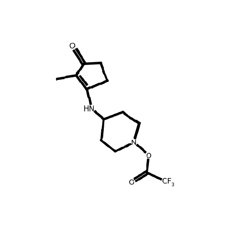 CC1=C(NC2CCN(OC(=O)C(F)(F)F)CC2)CCC1=O